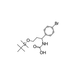 CC(C)(C)[Si](C)(C)OCCC(NC(=O)O)c1ccc(Br)cc1